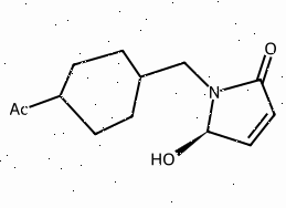 CC(=O)C1CCC(CN2C(=O)C=C[C@H]2O)CC1